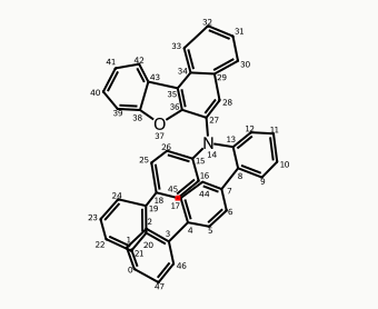 c1ccc(-c2ccc(-c3ccccc3N(c3ccc(-c4ccccc4)cc3)c3cc4ccccc4c4c3oc3ccccc34)cc2)cc1